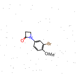 COc1ccc(N2CCC2=O)cc1Br